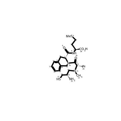 CSCC[C@H](NC(=O)[C@H]1Cc2ccccc2CN1C(=O)[C@H](C(C)C)N(C)C[C@H](N)CS)C(=O)O